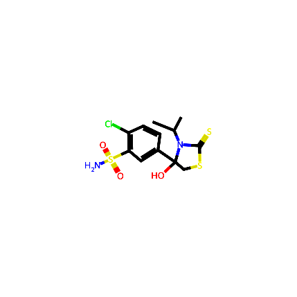 CC(C)N1C(=S)SCC1(O)c1ccc(Cl)c(S(N)(=O)=O)c1